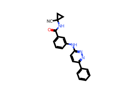 N#CC1(NC(=O)c2cccc(Nc3ccc(-c4ccccc4)nn3)c2)CC1